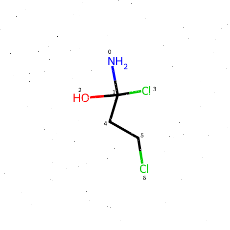 NC(O)(Cl)CCCl